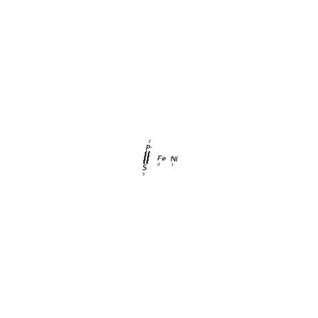 [Fe].[Ni].[P]=S